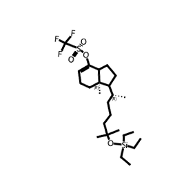 CC[Si](CC)(CC)OC(C)(C)CCC[C@@H](C)C1CCC2C(OS(=O)(=O)C(F)(F)F)=CCC[C@@]21C